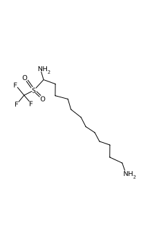 NCCCCCCCCCCCC(N)S(=O)(=O)C(F)(F)F